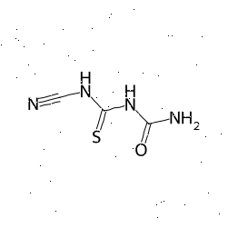 N#CNC(=S)NC(N)=O